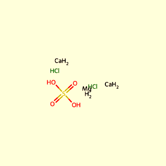 Cl.Cl.O=S(=O)(O)O.[CaH2].[CaH2].[MgH2]